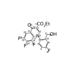 CCOC(=O)c1cn(-c2ccc(F)cc2CO)c2c(F)c(F)c(F)cc2c1=O